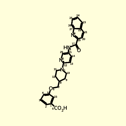 O=C(O)c1cccc(OCC2CCN(c3ccc(NC(=O)c4ccc5ccccc5n4)cn3)CC2)c1